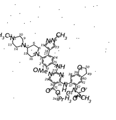 COc1cc(N2CCC(N3CCN(C)CC3)CC2)c(-c2cnn(C)c2)cc1Nc1ncc(C(=O)OC(C)C)c(Nc2cc3c(cc2N(C)S(C)(=O)=O)CCO3)n1